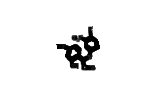 O=CC(Oc1ccc(F)c([N+](=O)[O-])c1)c1ccc(O)cc1O